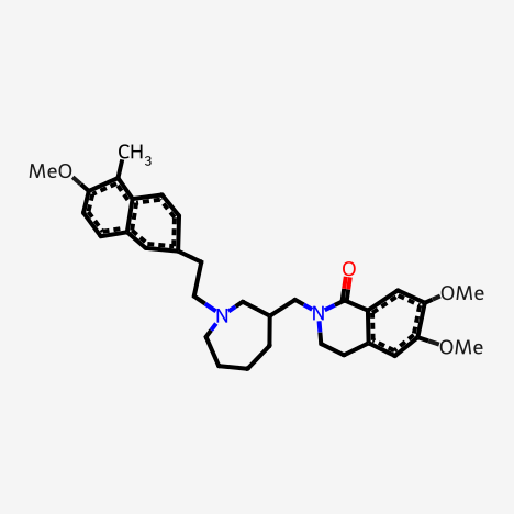 COc1cc2c(cc1OC)C(=O)N(CC1CCCCN(CCc3ccc4c(C)c(OC)ccc4c3)C1)CC2